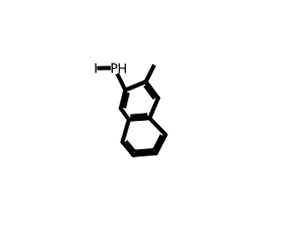 Cc1cc2c(cc1PI)C=C=C=C2